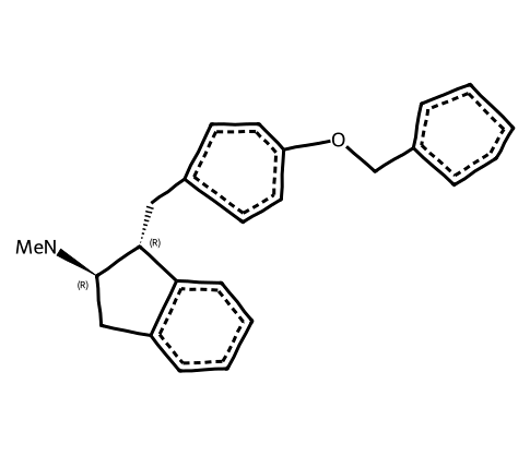 CN[C@@H]1Cc2ccccc2[C@H]1Cc1ccc(OCc2ccccc2)cc1